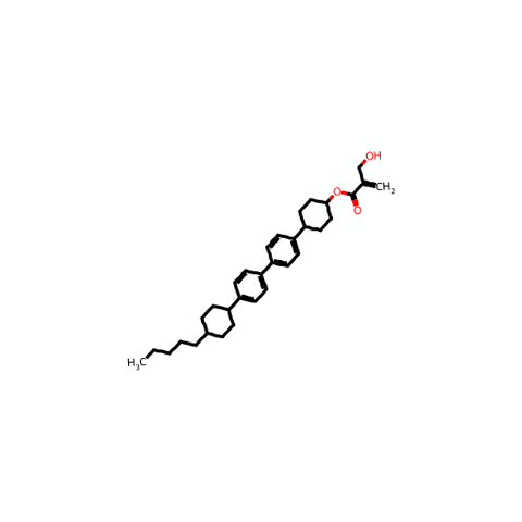 C=C(CO)C(=O)OC1CCC(c2ccc(-c3ccc(C4CCC(CCCCC)CC4)cc3)cc2)CC1